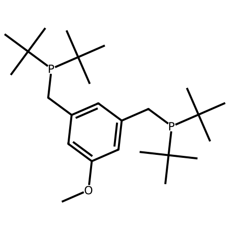 COc1cc(CP(C(C)(C)C)C(C)(C)C)cc(CP(C(C)(C)C)C(C)(C)C)c1